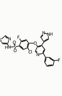 O=S(=O)(Nc1cscn1)c1cc(Cl)c(Oc2cnc(-c3cccc(F)c3)cc2-c2cn[nH]c2)cc1F